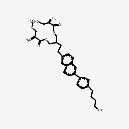 C=C(CO)C(=O)OCC(CCc1ccc2cc(-c3ccc(CCCCC)cc3)ccc2c1)COC(=O)C(=C)COC